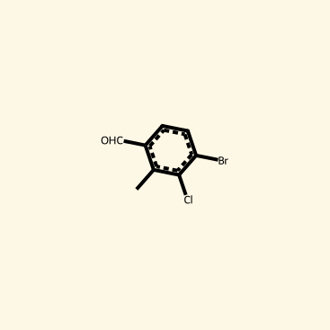 Cc1c(C=O)ccc(Br)c1Cl